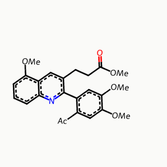 COC(=O)CCc1cc2c(OC)cccc2nc1-c1cc(OC)c(OC)cc1C(C)=O